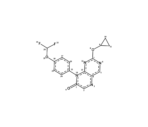 O=c1cnc2cnc(OC3CC3)nc2n1-c1ccc(OC(F)F)cc1